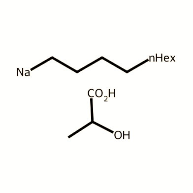 CC(O)C(=O)O.CCCCCCCCC[CH2][Na]